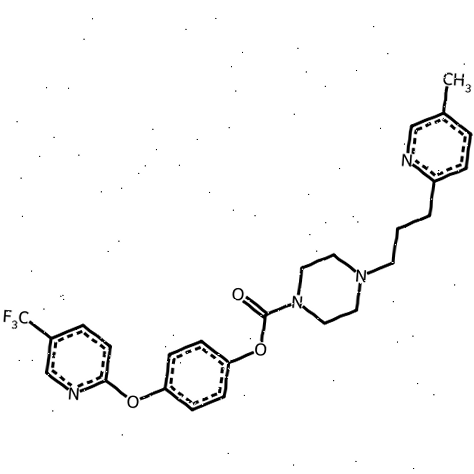 Cc1ccc(CCCN2CCN(C(=O)Oc3ccc(Oc4ccc(C(F)(F)F)cn4)cc3)CC2)nc1